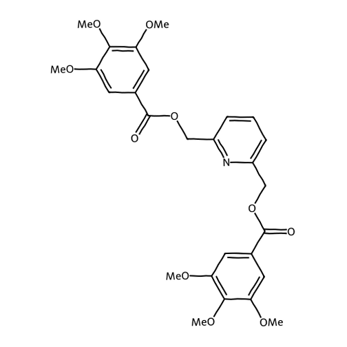 COc1cc(C(=O)OCc2cccc(COC(=O)c3cc(OC)c(OC)c(OC)c3)n2)cc(OC)c1OC